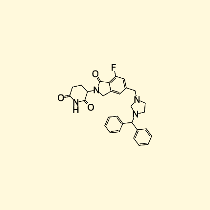 O=C1CCC(N2Cc3cc(CN4CCN(C(c5ccccc5)c5ccccc5)C4)cc(F)c3C2=O)C(=O)N1